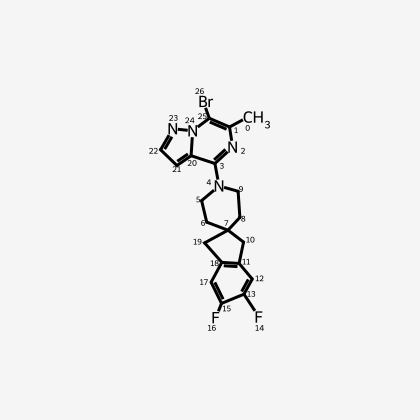 Cc1nc(N2CCC3(CC2)Cc2cc(F)c(F)cc2C3)c2ccnn2c1Br